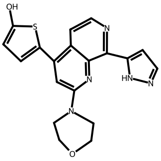 Oc1ccc(-c2cc(N3CCOCC3)nc3c(-c4ccn[nH]4)nccc23)s1